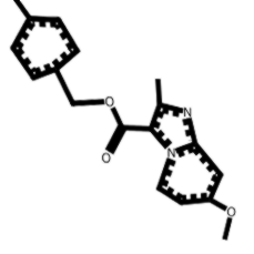 COc1ccn2c(C(=O)OCc3ccc(Cl)cc3)c(C)nc2c1